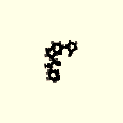 CC1CCCN1c1ccn2ncc(C(=O)Nc3cccnn3)c2n1